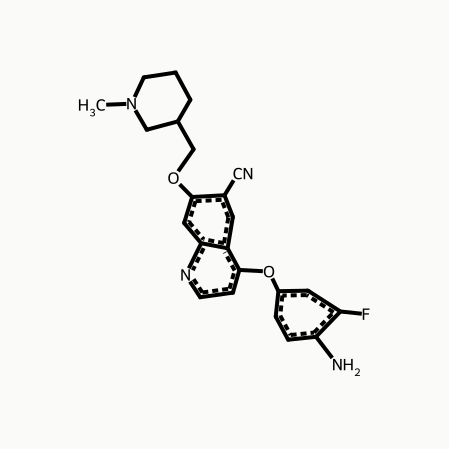 CN1CCCC(COc2cc3nccc(Oc4ccc(N)c(F)c4)c3cc2C#N)C1